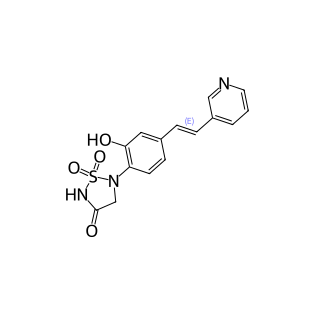 O=C1CN(c2ccc(/C=C/c3cccnc3)cc2O)S(=O)(=O)N1